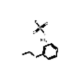 CCOc1ccccc1.N.O=S(=O)(F)F